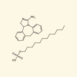 CCCCCCCCCCCCOS(=O)(=O)O.NC1=NCC2c3ccccc3Cc3ccccc3N12